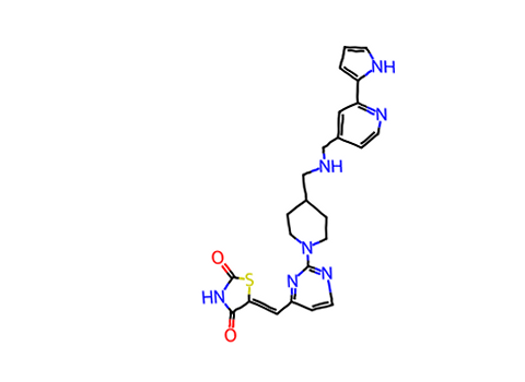 O=C1NC(=O)C(=Cc2ccnc(N3CCC(CNCc4ccnc(-c5ccc[nH]5)c4)CC3)n2)S1